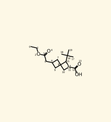 CCOC(=O)CC1CC2(C1)CN(C(=O)O)C2C(C)(C)C